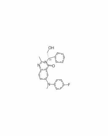 Cc1nc2ccc(N(C)c3ccc(F)cc3)cc2c(=O)n1[C@H](CO)c1ccccc1